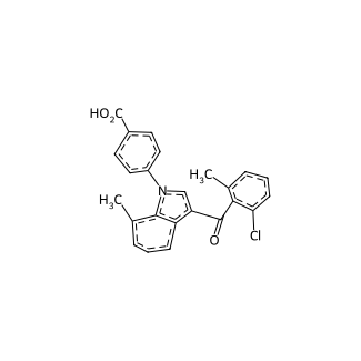 Cc1cccc(Cl)c1C(=O)c1cn(-c2ccc(C(=O)O)cc2)c2c(C)cccc12